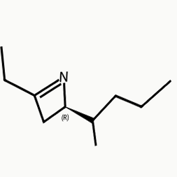 CCCC(C)[C@H]1CC(CC)=N1